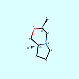 [CH2][C@H]1CN2CCC[C@H]2CO1